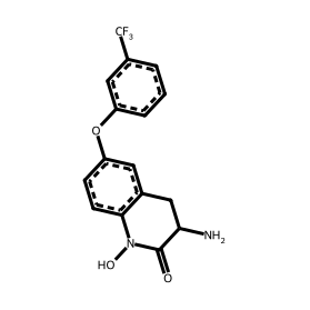 NC1Cc2cc(Oc3cccc(C(F)(F)F)c3)ccc2N(O)C1=O